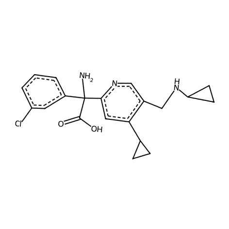 NC(C(=O)O)(c1cccc(Cl)c1)c1cc(C2CC2)c(CNC2CC2)cn1